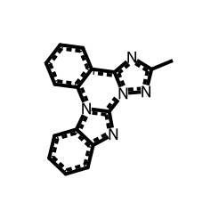 Cc1nc2c3ccccc3n3c4ccccc4nc3n2n1